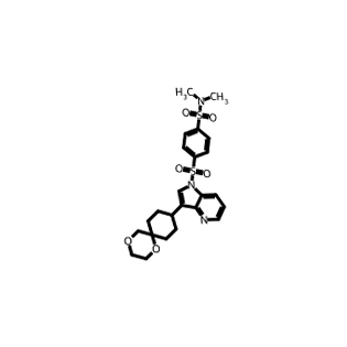 CN(C)S(=O)(=O)c1ccc(S(=O)(=O)n2cc(C3CCC4(CC3)COCCO4)c3ncccc32)cc1